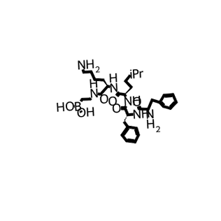 CC(C)CC[C@@H](NC(=O)[C@@H](Cc1ccccc1)NC(=O)[C@H](N)Cc1ccccc1)C(=O)N[C@H](CCCCN)C(=O)NCCB(O)O